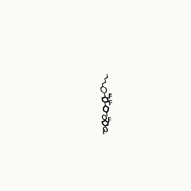 CCCCCC1CCC(c2ccc(-c3ccc(COc4ccc(OCC)cc4F)cc3)c(F)c2F)CC1